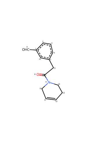 O=Cc1cccc(CC(=O)N2CC=CCC2)c1